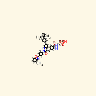 Cc1cccc2oc(-c3ccc(NC(=O)[C@H](Cc4ccc(C(=O)NCCS(=O)(=O)O)cc4)c4ccc(-c5ccc(C(C)(C)C)cc5)cc4)cc3)nc12